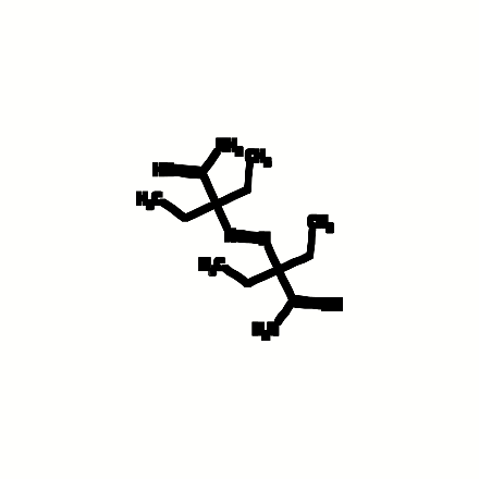 CCC(CC)(N=NC(CC)(CC)C(=N)N)C(=N)N